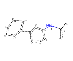 C=C(C)Nc1cccc(-c2ccccc2)c1